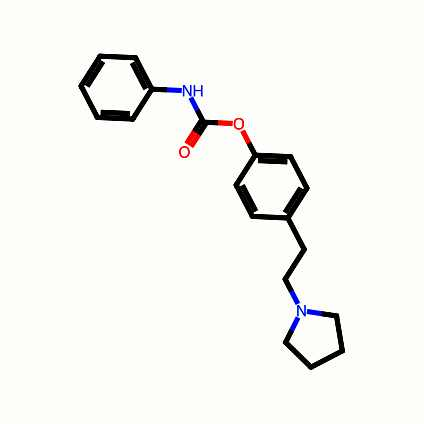 O=C(Nc1ccccc1)Oc1ccc(CCN2CCCC2)cc1